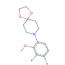 COc1c(N2CCC3(CC2)OCCO3)ccc(F)c1F